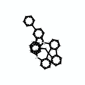 c1ccc(-c2ccc3c(c2)c2ccccc2n3-c2cccc3c2C2(Cc4ccccc4Sc4ccccc42)c2ccccc2-3)cc1